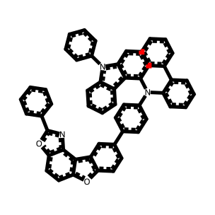 c1ccc(-c2nc3c(ccc4oc5ccc(-c6ccc(N(c7ccccc7-c7ccccc7)c7cccc8c7c7ccccc7n8-c7ccccc7)cc6)cc5c43)o2)cc1